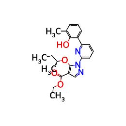 CCOC(=O)c1cnn(-c2cccc(-c3cccc(C)c3O)n2)c1O[C@@H](C)CC